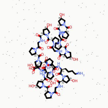 NCCCC[C@H](NC(=O)CNC(=O)[C@@H]1C[C@@H](O)CN1C(=O)[C@@H]1CCCN1C(=O)CNC(=O)[C@@H]1C[C@@H](O)CN1C(=O)[C@@H]1CCCN1C(=O)CNC(=O)[C@@H]1C[C@@H](O)CN1C(=O)[C@@H]1CCCN1C(=O)CNC(=O)[C@@H]1C[C@@H](O)CN1C(=O)[C@@H]1CCCN1)C(=O)N1C[C@H](O)C[C@H]1C(=O)NCC(=O)N1CCC[C@H]1C(=O)N1C[C@H](O)C[C@H]1C(=O)NCC(=O)N1CCC[C@H]1C(=O)N1C[C@H](O)C[C@H]1C(=O)NCC(=O)O